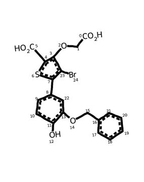 O=C(O)COc1c(C(=O)O)sc(-c2ccc(O)c(OCc3ccccc3)c2)c1Br